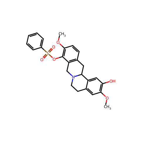 COc1cc2c(cc1O)C1Cc3ccc(OC)c(OS(=O)(=O)c4ccccc4)c3CN1CC2